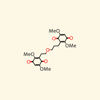 COC1=CC(=O)C(OC)=C(CCCOCCC2=C(OC)C(=O)C=C(OC)C2=O)C1=O